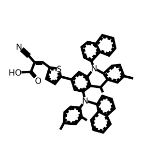 Cc1ccc(N(c2cc(-c3ccc(/C=C(/C#N)C(=O)O)s3)cc3c2C(C)c2cc(C)ccc2N3c2cccc3ccccc23)c2cccc3ccccc23)c(C)c1